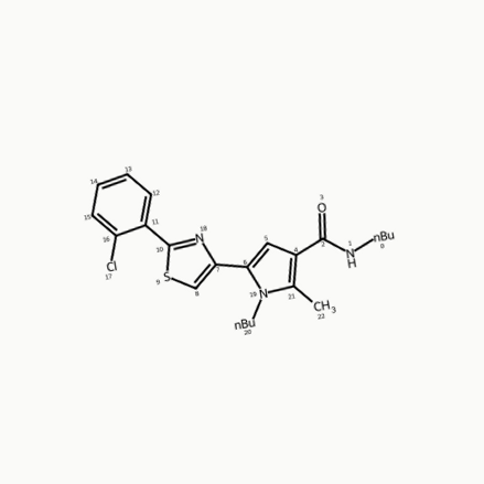 CCCCNC(=O)c1cc(-c2csc(-c3ccccc3Cl)n2)n(CCCC)c1C